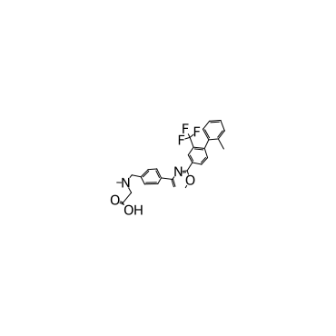 C=C(/N=C(\OC)c1ccc(-c2ccccc2C)c(C(F)(F)F)c1)c1ccc(CN(C)CC(=O)O)cc1